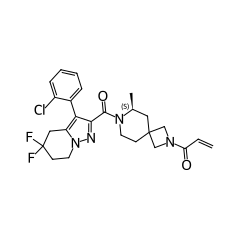 C=CC(=O)N1CC2(CCN(C(=O)c3nn4c(c3-c3ccccc3Cl)CC(F)(F)CC4)[C@@H](C)C2)C1